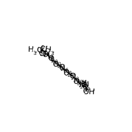 CC(C)(C)COCCOCCOCCOCCOCCOCCOCCn1cc(CO)nn1